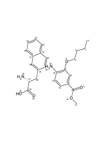 CCCCOc1cc(C(=O)OC)ccc1N.N[C@H](Cc1ccc2ccccc2c1)C(=O)O